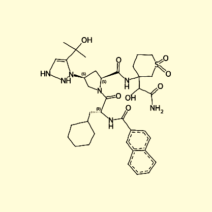 CC(C)(O)C1=CNNN1[C@H]1C[C@@H](C(=O)NC2(C(O)C(N)=O)CCCS(=O)(=O)C2)N(C(=O)[C@@H](CC2CCCCC2)NC(=O)c2ccc3ccccc3c2)C1